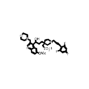 COc1ccc2ncc(CN3CCOCC3)c(C(O)CCC3(CC(=O)O)CCN(CC#Cc4c(F)cc(F)cc4F)CC3)c2c1